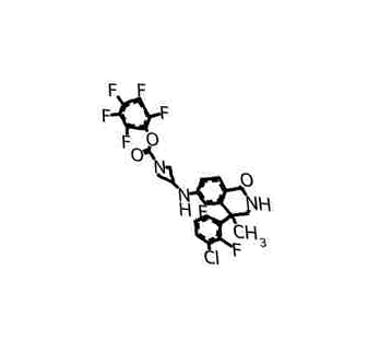 CC1(c2cccc(Cl)c2F)CNC(=O)c2ccc(NC3CN(C(=O)Oc4c(F)c(F)c(F)c(F)c4F)C3)c(F)c21